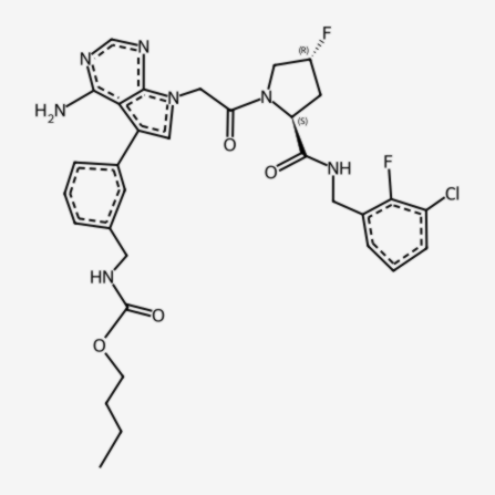 CCCCOC(=O)NCc1cccc(-c2cn(CC(=O)N3C[C@H](F)C[C@H]3C(=O)NCc3cccc(Cl)c3F)c3ncnc(N)c23)c1